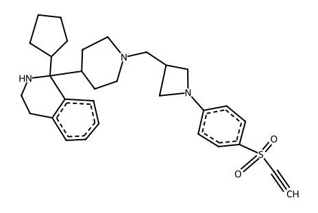 C#CS(=O)(=O)c1ccc(N2CC(CN3CCC(C4(C5CCCC5)NCCc5ccccc54)CC3)C2)cc1